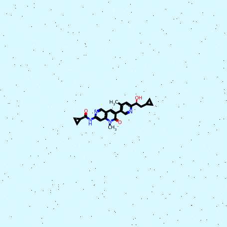 Cc1cc([C@@H](O)CC2CC2)ncc1-c1cc2cnc(NC(=O)C3CC3)cc2n(C)c1=O